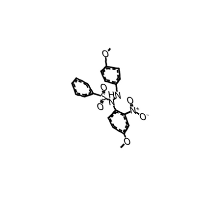 COc1ccc(NN(c2ccc(OC)cc2[N+](=O)[O-])S(=O)(=O)c2ccccc2)cc1